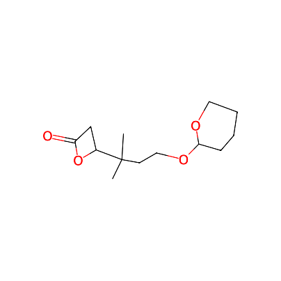 CC(C)(CCOC1CCCCO1)C1CC(=O)O1